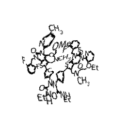 CCNC(=O)N(c1ccc(-c2sc3c(c2CN(C)CCOC)c(=O)n(-c2ccc(C)cn2)c(=O)n3Cc2c(F)cccc2F)cc1)N(C(=O)NCC)c1ccc(-c2sc3c(c2CN(C)CCOCC)c(=O)n(-c2ccccn2)c(=O)n3Cc2c(F)cccc2F)cc1